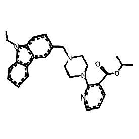 CCn1c2ccccc2c2cc(CN3CCN(c4ncccc4C(=O)OC(C)C)CC3)ccc21